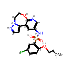 COCCOc1ccc(F)cc1S(=O)(=O)Nc1cnc2c(c1)-c1ccnn1CCO2